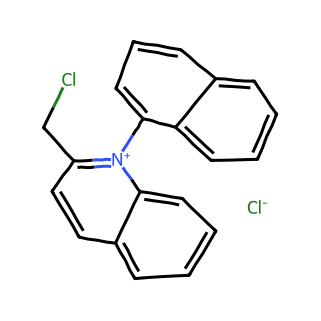 ClCc1ccc2ccccc2[n+]1-c1cccc2ccccc12.[Cl-]